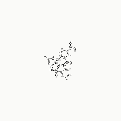 Cc1cc(NS(=O)(=O)c2ccccc2NC(=O)c2cc([N+](=O)[O-])ccc2Cl)no1